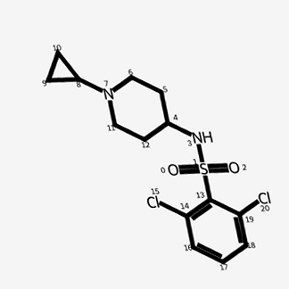 O=S(=O)(NC1CCN(C2CC2)CC1)c1c(Cl)cccc1Cl